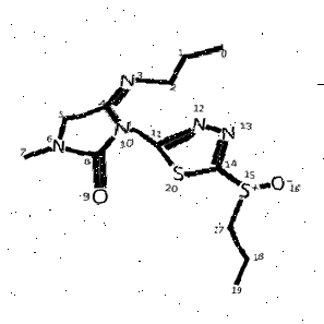 CCCN=C1CN(C)C(=O)N1c1nnc([S+]([O-])CCC)s1